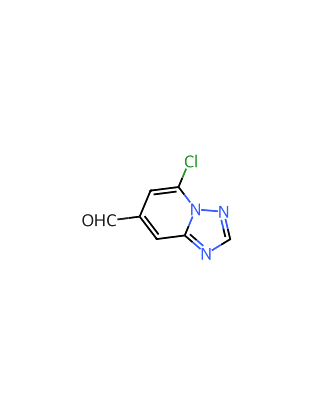 O=Cc1cc(Cl)n2ncnc2c1